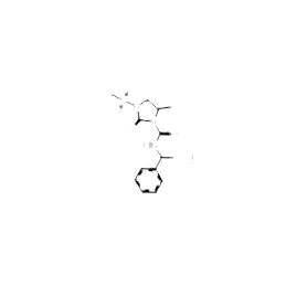 CC1CN(S(C)(=O)=O)C(=O)N1C(=O)NC(C(=O)O)c1ccccc1